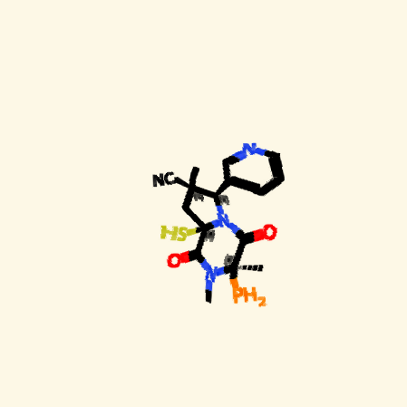 CN1C(=O)[C@]2(S)C[C@@](C)(C#N)[C@@H](c3cccnc3)N2C(=O)[C@@]1(C)P